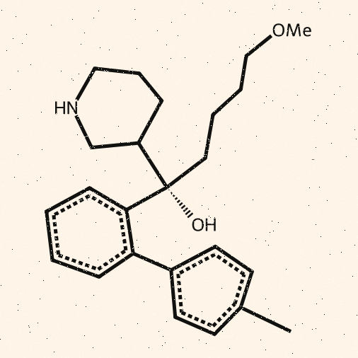 COCCCC[C@@](O)(c1ccccc1-c1ccc(C)cc1)C1CCCNC1